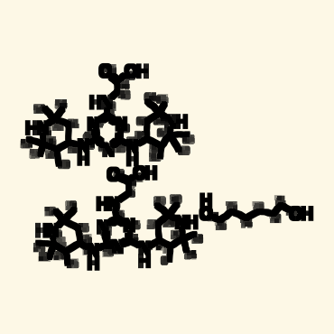 CC1C(Nc2nc(NCC(=O)O)nc(NC3CC(C)(C)NC(C)(C)C3C)n2)CC(C)(C)NC1(C)C.CC1C(Nc2nc(NCC(=O)O)nc(NC3CC(C)(C)NC(C)(C)C3C)n2)CC(C)(C)NC1(C)C.OCCCCCCO